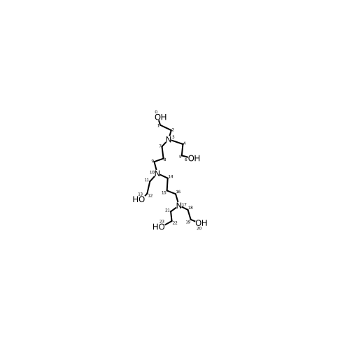 OCCN(CCO)CCCN(CCO)CCCN(CCO)CCO